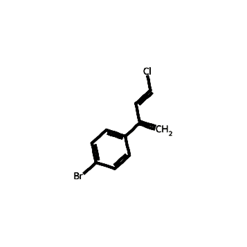 C=C(/C=C/Cl)c1ccc(Br)cc1